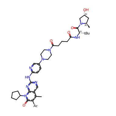 CC(=O)c1c(C)c2cnc(Nc3ccc(N4CCN(C(=O)CCCC(=O)N[C@H](C(=O)N5C[C@H](O)C[C@H]5C)C(C)(C)C)CC4)cn3)nc2n(C2CCCC2)c1=O